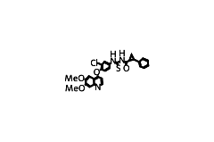 COc1cc2nccc(Oc3ccc(NC(=S)NC(=O)C4CC4c4ccccc4)cc3Cl)c2cc1OC